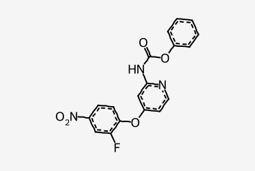 O=C(Nc1cc(Oc2ccc([N+](=O)[O-])cc2F)ccn1)Oc1ccccc1